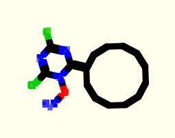 NON1C(Cl)=NC(Cl)=NC1=C1CCCCCCCCCCC1